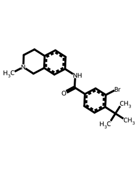 CN1CCc2ccc(NC(=O)c3ccc(C(C)(C)C)c(Br)c3)cc2C1